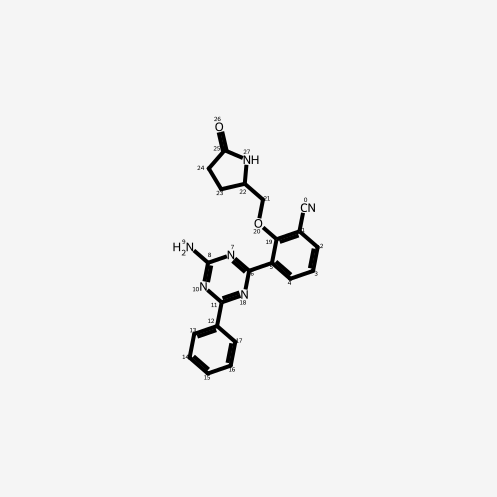 N#Cc1cccc(-c2nc(N)nc(-c3ccccc3)n2)c1OCC1CCC(=O)N1